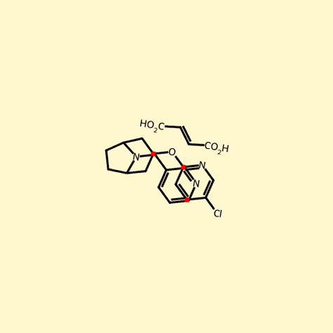 Clc1ccc(OC2CC3CCC(C2)N3Cc2cccnc2)nc1.O=C(O)C=CC(=O)O